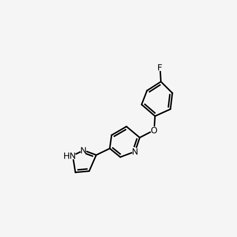 Fc1ccc(Oc2ccc(-c3cc[nH]n3)cn2)cc1